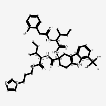 CCC(C)[C@H](NC(=O)Cc1ccccc1F)C(=O)N[C@]1(C(=O)N[C@@H](C(=S)NCCCn2ccnc2)C(C)CC)CCc2[nH]c3c(C(F)(F)F)cccc3c2C1